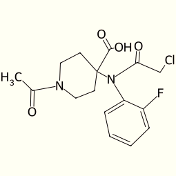 CC(=O)N1CCC(C(=O)O)(N(C(=O)CCl)c2ccccc2F)CC1